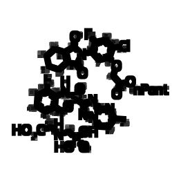 CCCCCOC(=O)COc1cc(N2C(=O)C3=C(CCCC3)C2=O)c(F)cc1Cl.Cc1ccn2nc(S(=O)(=O)Nc3c(F)cccc3F)nc2n1.O=C(O)CNCP(=O)(O)O